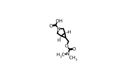 CN(C)C(=O)OCC1[C@H]2CN(C(=O)O)C[C@@H]12